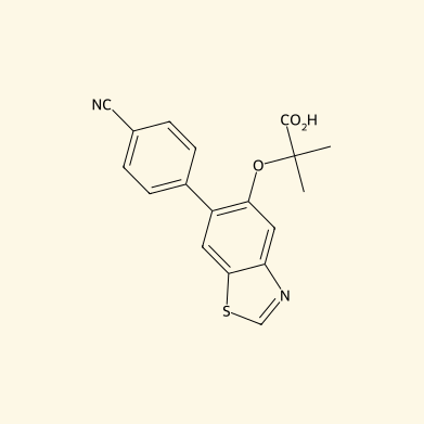 CC(C)(Oc1cc2ncsc2cc1-c1ccc(C#N)cc1)C(=O)O